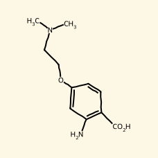 CN(C)CCOc1ccc(C(=O)O)c(N)c1